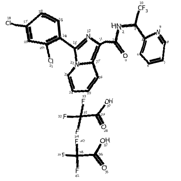 O=C(NC(c1ccccn1)C(F)(F)F)c1nc(-c2ccc(Cl)cc2Cl)n2ccccc12.O=C(O)C(F)(F)F.O=C(O)C(F)(F)F